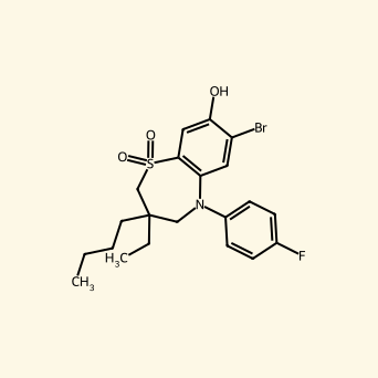 CCCCC1(CC)CN(c2ccc(F)cc2)c2cc(Br)c(O)cc2S(=O)(=O)C1